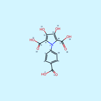 O=C(O)c1ccc(-n2c(C(=O)O)c(O)c(O)c2C(=O)O)cc1